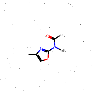 CCCCN(C(=O)C(F)(F)F)c1nc(C)co1